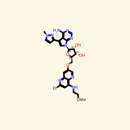 CCc1cc(NCCOC)c2ncc(OC[C@H]3O[C@@H](n4cc(-c5ccn(C)n5)c5c(N)ncnc54)[C@H](O)[C@@H]3O)cc2n1